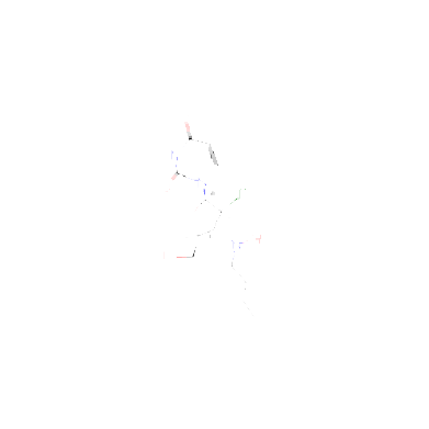 CCCCN(O)[C@H]1[C@H](F)[C@H](n2ccc(=O)[nH]c2=O)O[C@@H]1CO